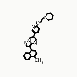 Cc1ccc(-c2cnn3cc(-c4ccc(OCCN5CCCCC5)nc4)cnc23)c2ccccc12